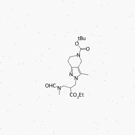 CCOC(=O)C(CN(C)C=O)Cn1nc2c(c1C)CN(C(=O)OC(C)(C)C)CC2